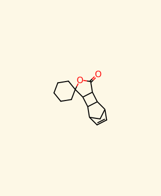 O=C1OC2(CCCCC2)C2C1C1C3C=CC(C3)C12